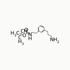 CC(C)(C)OC(=O)NCCc1cccc(CCCN)c1